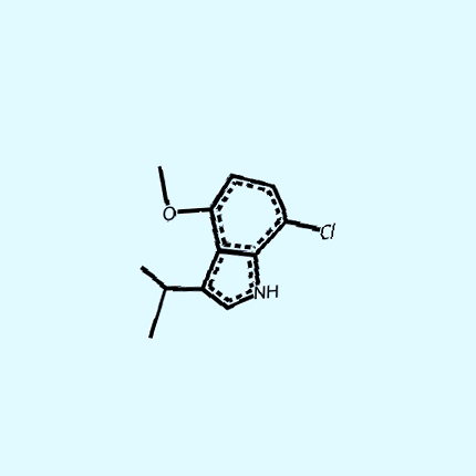 COc1ccc(Cl)c2[nH]cc(C(C)C)c12